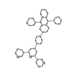 c1ccc(-c2c3ccccc3c(-c3ccccc3)c3cc(-c4ccc(-c5cc(-c6cccnc6)nc(-c6cccnc6)c5)cc4)ccc23)cc1